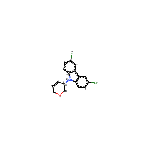 Clc1ccc2c(c1)c1cc(Cl)ccc1n2[C@@H]1C=CCOC1